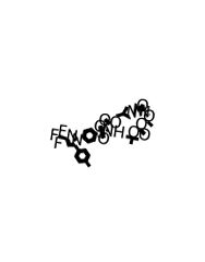 Cc1ccc(-c2cc(C(F)(F)F)nn2-c2ccc(S(=O)(=O)NC(=O)OCC3CN(n4on4OC(C)OC(=O)OC(C)(C)C)C3)cc2)cc1